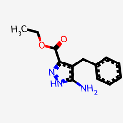 CCOC(=O)c1n[nH]c(N)c1Cc1ccccc1